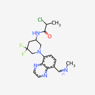 C/N=C\c1ccc(N2CC(NC(=O)C(C)Cl)CC(F)(F)C2)c2nccnc12